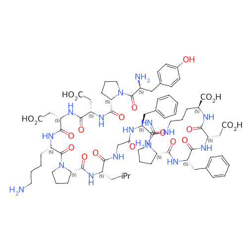 CC(C)C[C@H](NC(=O)[C@@H]1CCCN1C(=O)[C@H](CCCCN)NC(=O)[C@H](CC(=O)O)NC(=O)[C@H](CC(=O)O)NC(=O)[C@@H]1CCCN1C(=O)[C@@H](N)Cc1ccc(O)cc1)C(=O)NCC(=O)N[C@@H](Cc1ccccc1)C(=O)N1CCC[C@H]1C(=O)N[C@@H](Cc1ccccc1)C(=O)N[C@@H](CC(=O)O)C(=O)N[C@@H](CCCNC(=N)N)C(=O)O